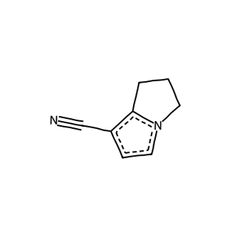 N#Cc1ccn2c1CCC2